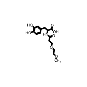 COCCOCCC(=O)NC(Cc1ccc(O)c(O)c1)C(=O)O